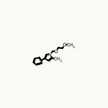 COCCOCn1cc(-c2ccccc2)cc1C